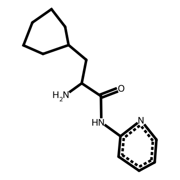 NC(CC1CCCCC1)C(=O)Nc1ccccn1